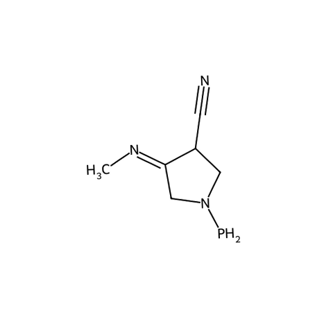 C/N=C1\CN(P)CC1C#N